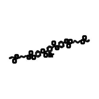 C=CC(=O)OCCCCOC(=O)Oc1ccc(OC(=O)c2ccc(C(=O)Oc3ccc(OC(=O)OCCCCOC(=O)C=C)cc3)c(Br)c2)cc1